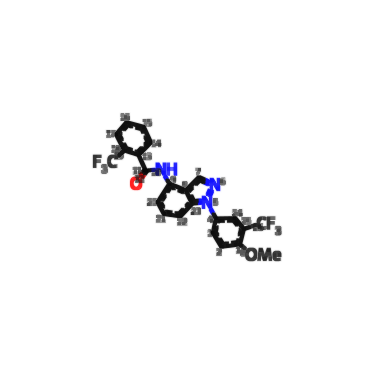 COc1ccc(-n2ncc3c(NC(=O)c4ccccc4C(F)(F)F)cccc32)cc1C(F)(F)F